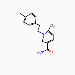 Cc1ccc(CCN2CC(C(N)=O)=CC=C2C(F)(F)F)cc1